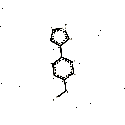 ICc1ccc(-c2ccoc2)cc1